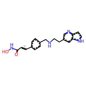 O=C(/C=C/c1ccc(CNCCc2cnc3cc[nH]c3c2)cc1)NO